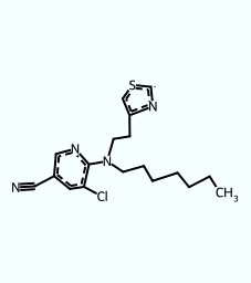 CCCCCCCN(CCc1cs[c]n1)c1ncc(C#N)cc1Cl